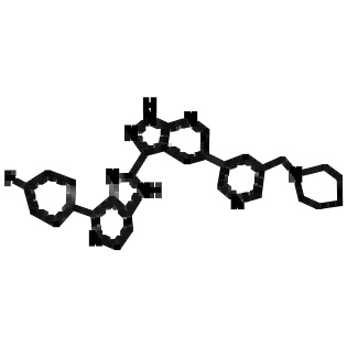 Fc1ccc(-c2nccc3[nH]c(-c4n[nH]c5ncc(-c6cncc(CN7CCCCC7)c6)cc45)nc23)cc1